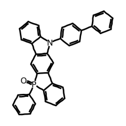 O=P1(c2ccccc2)c2ccccc2-c2cc3c(cc21)c1ccccc1n3-c1ccc(-c2ccccc2)cc1